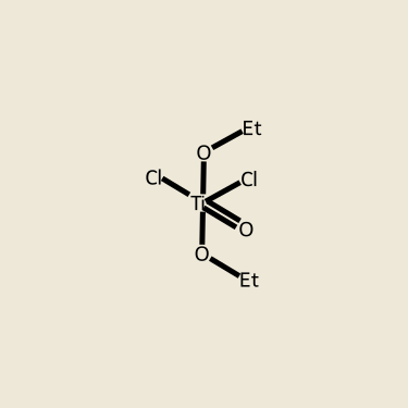 CC[O][Ti](=[O])([Cl])([Cl])[O]CC